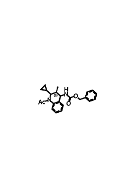 CC(=O)N1c2ccccc2C(NC(=O)OCc2ccccc2)[C@H](C)C1C1CC1